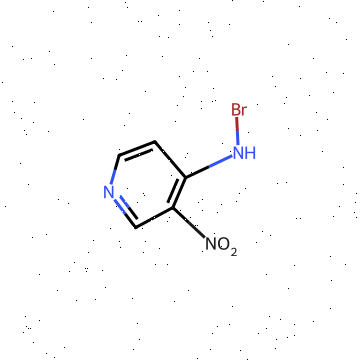 O=[N+]([O-])c1cnccc1NBr